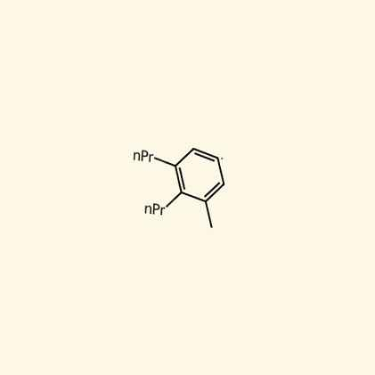 CCCc1c[c]cc(C)c1CCC